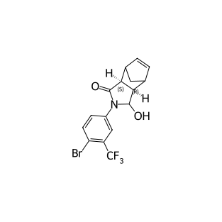 O=C1[C@H]2C3C=CC(C3)[C@H]2C(O)N1c1ccc(Br)c(C(F)(F)F)c1